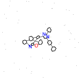 N#Cc1ccccc1-c1ccc2c(c1)C1(c3ccccc3Oc3ccccc31)c1cc(-c3cc(-c4ccc(-c5ccccc5)cc4)nc(-c4ccccc4)n3)ccc1-2